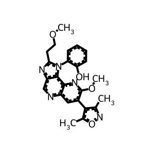 COCCc1nc2cnc3cc(-c4c(C)noc4C)c(OC)nc3c2n1-c1ccccc1O